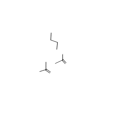 C=C(C)C.C=C(C)C.OCCO